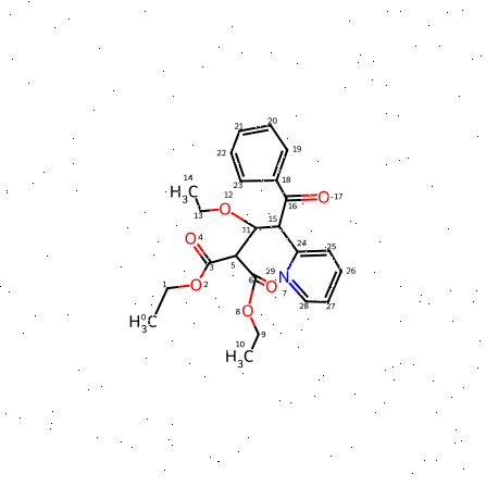 CCOC(=O)C(C(=O)OCC)C(OCC)C(C(=O)c1ccccc1)c1ccccn1